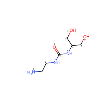 NCCNC(=O)NC(CO)CO